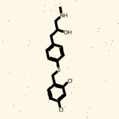 CNCC(O)Cc1ccc(SCc2ccc(Cl)cc2Cl)cc1